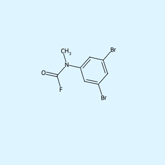 CN(C(=O)F)c1cc(Br)cc(Br)c1